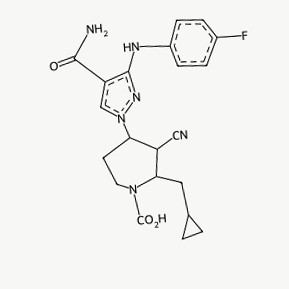 N#CC1C(CC2CC2)N(C(=O)O)CCC1n1cc(C(N)=O)c(Nc2ccc(F)cc2)n1